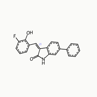 O=C1Nc2cc(-c3ccccc3)ccc2/C1=C/c1cccc(F)c1O